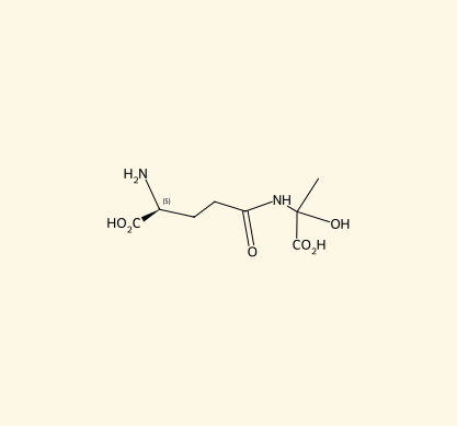 CC(O)(NC(=O)CC[C@H](N)C(=O)O)C(=O)O